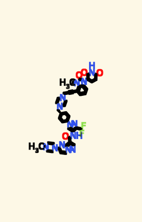 CN1CCN(c2ccn3ncc(C(=O)Nc4cn([C@H]5CC[C@H](CN6CCN(CC#Cc7cccc8c7n(C)c(=O)n8C7CCC(=O)NC7=O)CC6)CC5)nc4C(F)F)c3n2)CC1